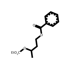 CCOC(=O)OC(C)CCOC(=O)c1ccccc1